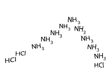 Cl.Cl.Cl.N.N.N.N.N.N.N.N.N